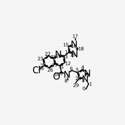 CCn1ncc(CN(C)C(=O)c2cc(-c3cn(C)cn3)nc3ccc(Cl)cc23)c1C